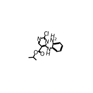 CC(C)OC(=O)c1cnc(Cl)nc1Nc1ccccc1N